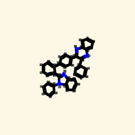 c1ccc(-c2nc3ccccc3nc2-c2ccc(-c3ccccc3-c3nc4ccccc4n3-c3ccccc3)cc2)cc1